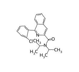 CC(C)N(C(=O)c1cc2ccccc2c(-c2ccccc2Cl)n1)C(C)C